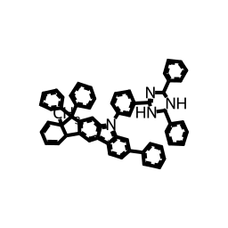 CC12C=CC=CC1c1cc3c4ccc(-c5ccccc5)cc4n(-c4cccc(C5=NC(c6ccccc6)NC(c6ccccc6)N5)c4)c3cc1C2(c1ccccc1)c1ccccc1